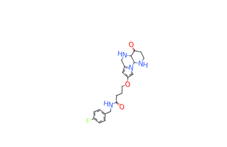 O=C(CCCOc1cc2n(c1)C1NCCC(=O)C1NC2)NCc1ccc(F)cc1